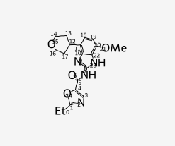 CCc1ncc(C(=O)Nc2nc3c(C4CCOCC4)ccc(OC)c3[nH]2)o1